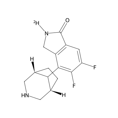 [2H]N1Cc2c(cc(F)c(F)c2C2[C@@H]3CC[C@H]2CNC3)C1=O